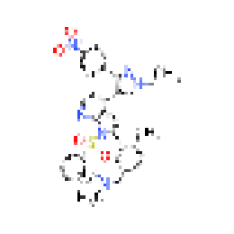 CCn1cc(-c2ccnc3c2cc(-c2cc(CN(C)C)ccc2C)n3S(=O)(=O)c2ccccc2)c(-c2ccc([N+](=O)[O-])cc2)n1